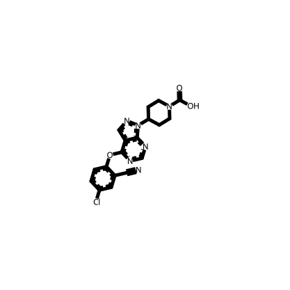 N#Cc1cc(Cl)ccc1Oc1ncnc2c1cnn2C1CCN(C(=O)O)CC1